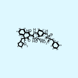 CC1(CC2CCCC2)C(=O)C(C2=NS(O)(O)c3cc(NS(=O)(=O)N(Cc4ccccc4)C(=O)O)ccc3N2)=C(O)c2ccccc21